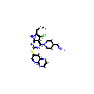 CCc1[nH]c2nc(Sc3cnc4nccnc4c3)nc(N3CCC(CN)CC3)c2c1Cl